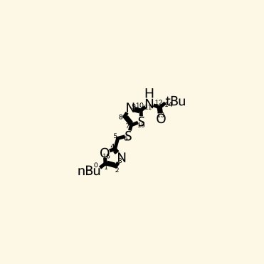 CCCCc1cnc(CSc2cnc(NC(=O)C(C)(C)C)s2)o1